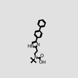 CC(C)(C)N(CCc1nc(-c2ccc(-c3ccccc3)cc2)c[nH]1)C(=O)O